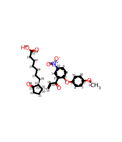 COc1ccc(Oc2ccc([N+](=O)[O-])cc2C(=O)C=C[C@@H]2CCC(=O)[C@H]2CCCCCCC(=O)O)cc1